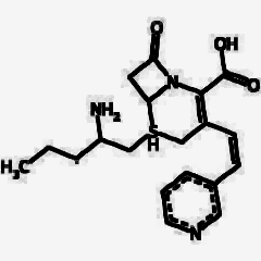 CC[CH]C(N)C[SH]1CC(/C=C\c2cccnc2)=C(C(=O)O)N2C(=O)CC21